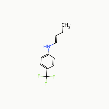 [CH2]C/C=C/Nc1ccc(C(F)(F)F)cc1